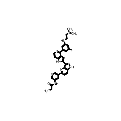 CCC(=O)Nc1cncc(-c2ccc3[nH]nc(-c4cc5c(-c6cc(F)cc(NCCN(C)C)c6)nccc5[nH]4)c3n2)c1